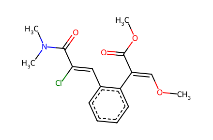 CO/C=C(/C(=O)OC)c1ccccc1/C=C(\Cl)C(=O)N(C)C